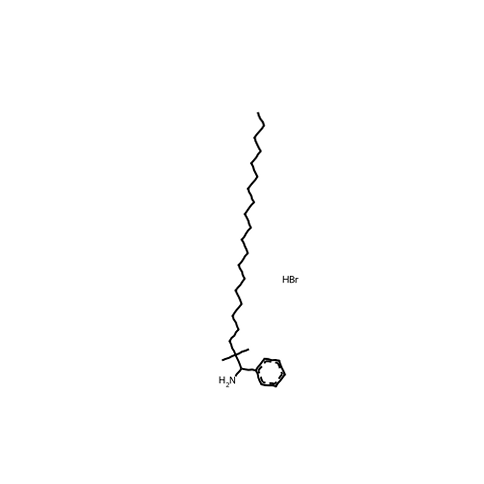 Br.CCCCCCCCCCCCCCCCCCCC(C)(C)C(N)c1ccccc1